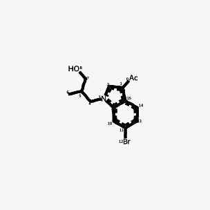 CC(=O)c1cn(CC(C)CO)c2cc(Br)ccc12